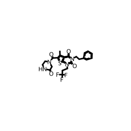 Cc1c(C(=O)N2CCNC(=O)C2)sc2c1c(=O)n(CCc1ccccc1)c(=O)n2CCC(F)(F)F